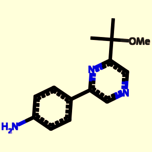 COC(C)(C)c1cncc(-c2ccc(N)cc2)n1